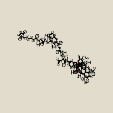 COc1c(C)cc2c(c1O)[C@H]1[C@@H]3[C@@H]4SC[C@]5(NCCc6c5[nH]c5ccc(N(C)C(=O)[C@H](OCNC(=O)CNC(=O)[C@H](Cc7ccccc7)NC(=O)CNC(=O)CNC(=O)CCCCCN7C(=O)C=CC7=O)C7CC7)cc65)C(=O)OC[C@@H](c5c6c(c(C)c(OC(C)=O)c54)OCO6)N3[C@@H](O)[C@@H](C2)N1C